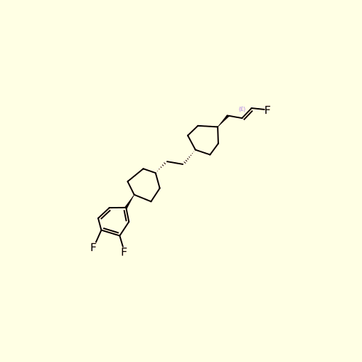 F/C=C/C[C@H]1CC[C@H](CC[C@H]2CC[C@H](c3ccc(F)c(F)c3)CC2)CC1